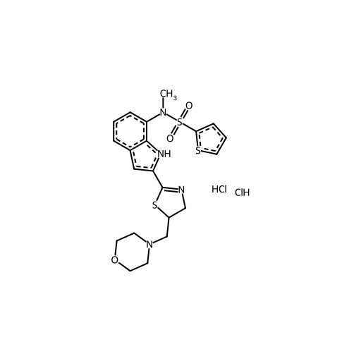 CN(c1cccc2cc(C3=NCC(CN4CCOCC4)S3)[nH]c12)S(=O)(=O)c1cccs1.Cl.Cl